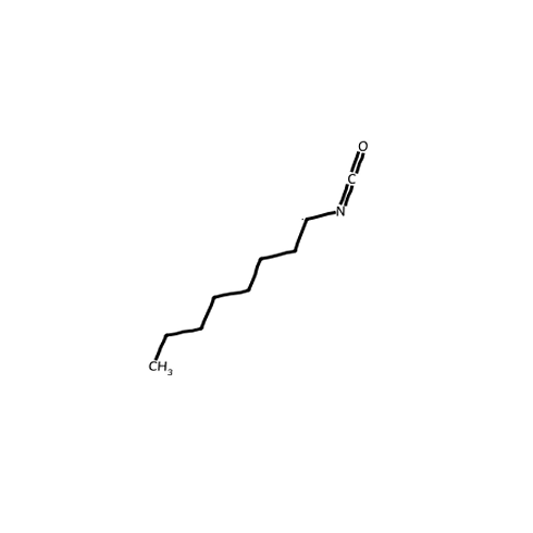 CCCCCCC[CH]N=C=O